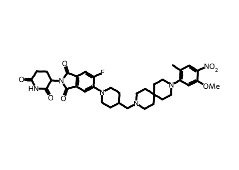 COc1cc(N2CCC3(CCN(CC4CCN(c5cc6c(cc5F)C(=O)N(C5CCC(=O)NC5=O)C6=O)CC4)CC3)CC2)c(C)cc1[N+](=O)[O-]